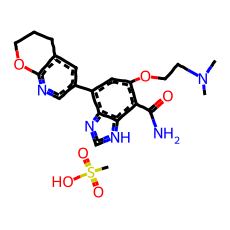 CN(C)CCOc1cc(-c2cnc3c(c2)CCCO3)c2nc[nH]c2c1C(N)=O.CS(=O)(=O)O